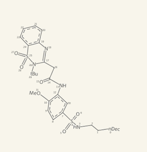 CCCCCCCCCCCCNS(=O)(=O)c1ccc(OC)c(NC(=O)CC2=Nc3ccccc3S(=O)(=O)N2C(C)(C)C)c1